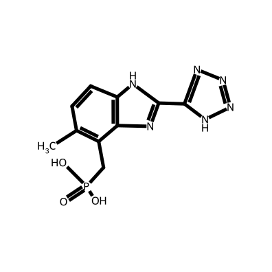 Cc1ccc2[nH]c(-c3nnn[nH]3)nc2c1CP(=O)(O)O